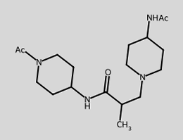 CC(=O)NC1CCN(CC(C)C(=O)NC2CCN(C(C)=O)CC2)CC1